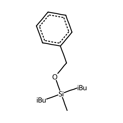 CCC(C)[Si](C)(OCc1ccccc1)C(C)CC